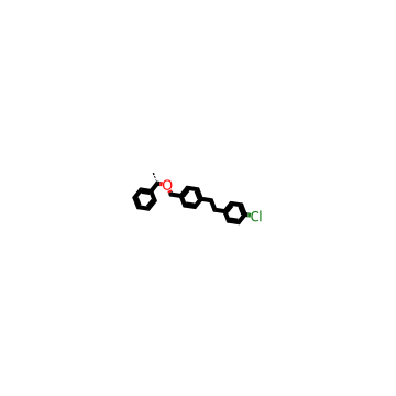 C[C@H](OCc1ccc(CCc2ccc(Cl)cc2)cc1)c1ccccc1